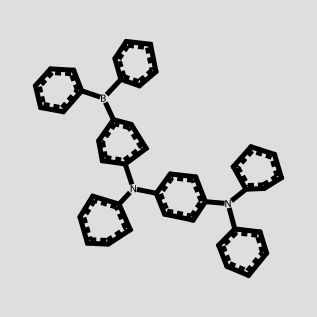 c1ccc(B(c2ccccc2)c2ccc(N(c3ccccc3)c3ccc(N(c4ccccc4)c4ccccc4)cc3)cc2)cc1